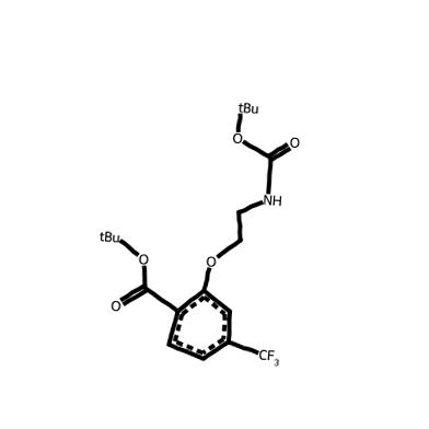 CC(C)(C)OC(=O)NCCOc1cc(C(F)(F)F)ccc1C(=O)OC(C)(C)C